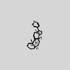 C[C@]12CCCC[C@H]1CC[C@H]1[C@H]3CCC(c4ccnnc4)[C@@]3(C)CC[C@@H]12